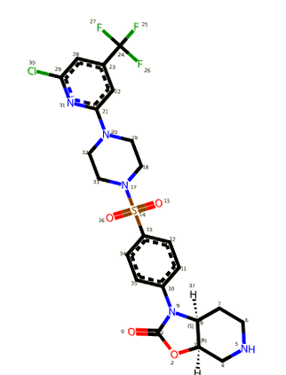 O=C1O[C@@H]2CNCC[C@@H]2N1c1ccc(S(=O)(=O)N2CCN(c3cc(C(F)(F)F)cc(Cl)n3)CC2)cc1